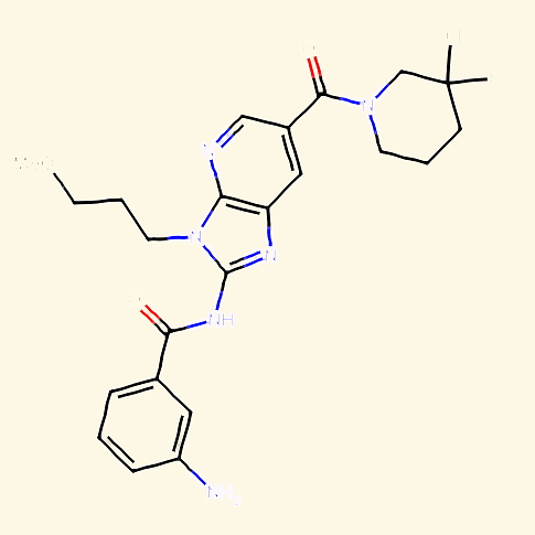 COCCCn1c(NC(=O)c2cccc(N)c2)nc2cc(C(=O)N3CCCC(C)(C)C3)cnc21